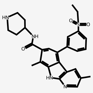 CCS(=O)(=O)c1cccc(-c2cc(C(=O)NC3CCNCC3)c(C)c3[nH]c4ncc(C)cc4c23)c1